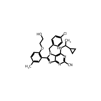 Cc1ccc(OCCO)c(-c2nc3nc(C#N)nc(NC(C)C4CC4)c3n2Cc2ccc(Cl)cc2)c1